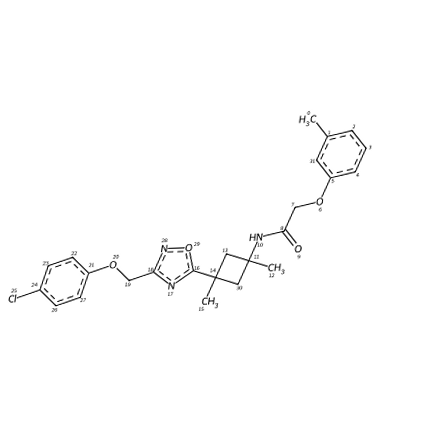 Cc1cccc(OCC(=O)NC2(C)CC(C)(c3nc(COc4ccc(Cl)cc4)no3)C2)c1